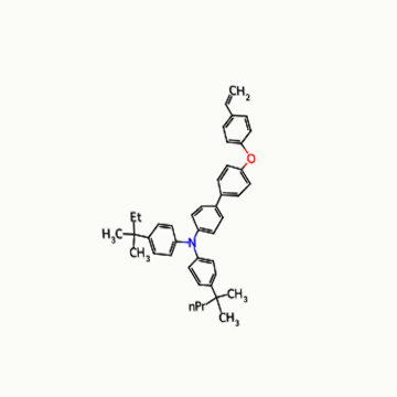 C=Cc1ccc(Oc2ccc(-c3ccc(N(c4ccc(C(C)(C)CC)cc4)c4ccc(C(C)(C)CCC)cc4)cc3)cc2)cc1